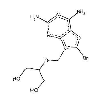 Nc1nc(N)c2nc(Br)n(COC(CO)CO)c2n1